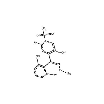 CC(C)(C)ON=C(c1cc(Cl)c(S(C)(=O)=O)cc1O)c1c(O)ccc[n+]1[O-]